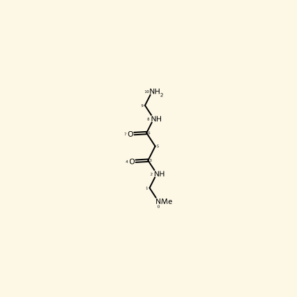 CNCNC(=O)CC(=O)NCN